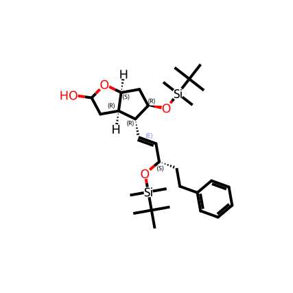 CC(C)(C)[Si](C)(C)O[C@H](/C=C/[C@@H]1[C@H]2CC(O)O[C@H]2C[C@H]1O[Si](C)(C)C(C)(C)C)CCc1ccccc1